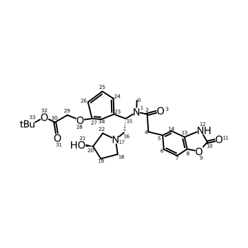 CN(C(=O)Cc1ccc2oc(=O)[nH]c2c1)[C@H](CN1CC[C@@H](O)C1)c1cccc(OCC(=O)OC(C)(C)C)c1